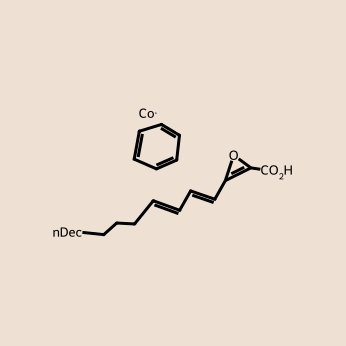 CCCCCCCCCCCCCC=CC=CC1=C(C(=O)O)O1.[Co].c1ccccc1